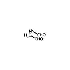 C[C]=O.O=[CH][Rh]